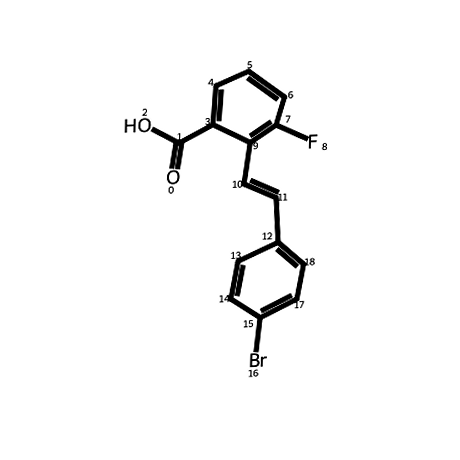 O=C(O)c1cccc(F)c1C=Cc1ccc(Br)cc1